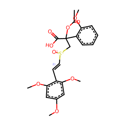 COc1cc(OC)c(/C=C/[S+]([O-])CC(OC(C)=O)(C(=O)O)c2ccccc2OC)c(OC)c1